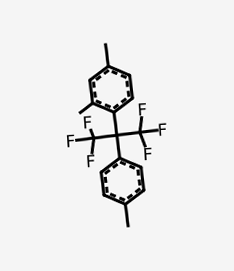 Cc1ccc(C(c2ccc(C)cc2C)(C(F)(F)F)C(F)(F)F)cc1